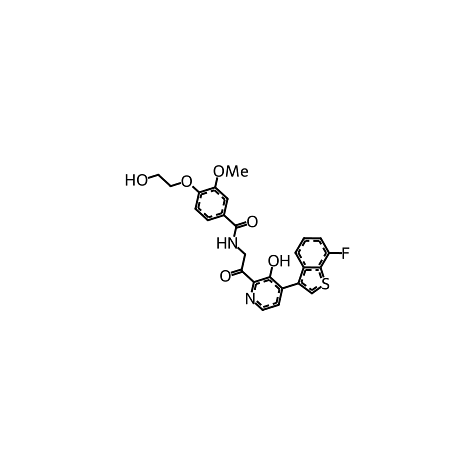 COc1cc(C(=O)NCC(=O)c2nccc(-c3csc4c(F)cccc34)c2O)ccc1OCCO